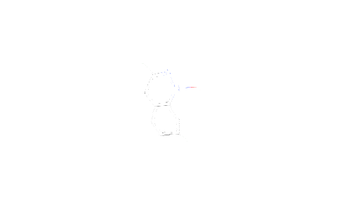 [O-][n+]1nc(Cl)cc2ccc(Cl)cc21